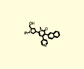 CC(C)N1CC(c2cc(-c3ccncc3)c(-c3ccc4ccccc4c3)c(=O)n2C)CC1CO